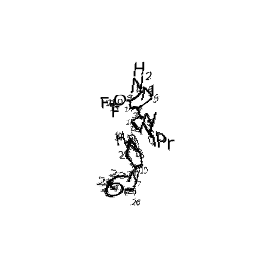 CC(C)n1nc(-c2cnc(N)c(OC(F)F)c2)cc1[C@@H]1C2C[C@H](N3CCO[C@@H](C)C3)C[C@H]21